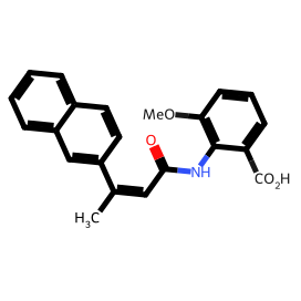 COc1cccc(C(=O)O)c1NC(=O)/C=C(/C)c1ccc2ccccc2c1